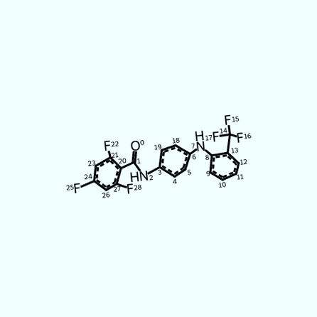 O=C(Nc1ccc(Nc2ccccc2C(F)(F)F)cc1)c1c(F)cc(F)cc1F